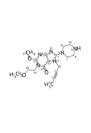 CC#CCn1c(N2CCNCC2)nc2nc(OC)n(CCOC)c(=O)c21